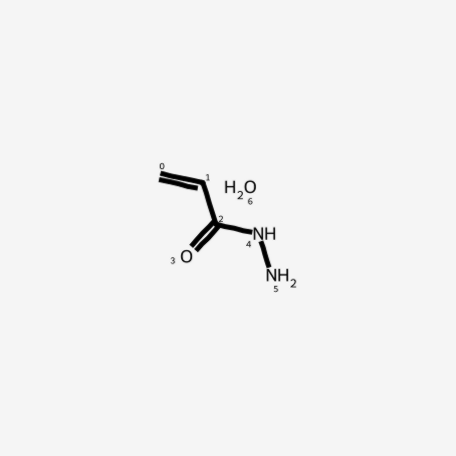 C=CC(=O)NN.O